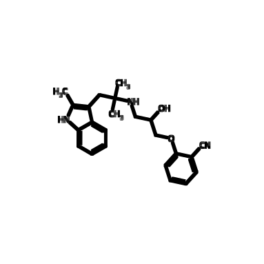 Cc1[nH]c2ccccc2c1CC(C)(C)NCC(O)COc1ccccc1C#N